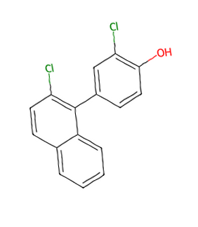 Oc1ccc(-c2c(Cl)ccc3ccccc23)cc1Cl